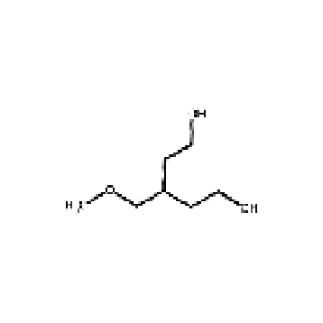 COCC(CCO)CCO